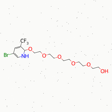 OCCOCCOCCOCCOCCOC1NC=C(Br)C=C1C(F)(F)F